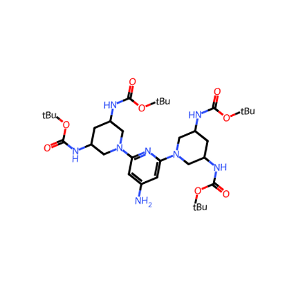 CC(C)(C)OC(=O)NC1CC(NC(=O)OC(C)(C)C)CN(c2cc(N)cc(N3CC(NC(=O)OC(C)(C)C)CC(NC(=O)OC(C)(C)C)C3)n2)C1